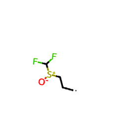 [CH2]CC[S+]([O-])C(F)F